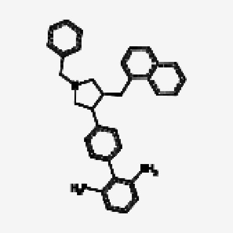 Bc1cccc(P)c1-c1ccc(C2CN(Cc3ccccc3)C[C@H]2Cc2cccc3ccccc23)cc1